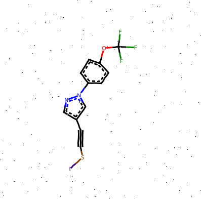 FC(F)(F)Oc1ccc(-n2cc(C#CSI)cn2)cc1